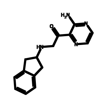 Nc1nccnc1C(=O)CNC1Cc2ccccc2C1